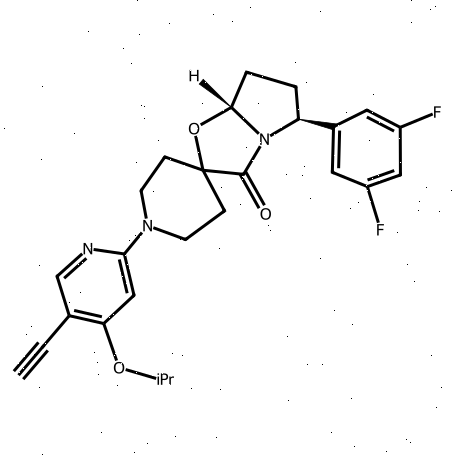 C#Cc1cnc(N2CCC3(CC2)O[C@@H]2CC[C@@H](c4cc(F)cc(F)c4)N2C3=O)cc1OC(C)C